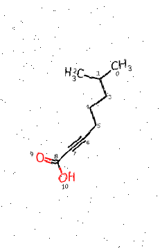 CC(C)CCCC#CC(=O)O